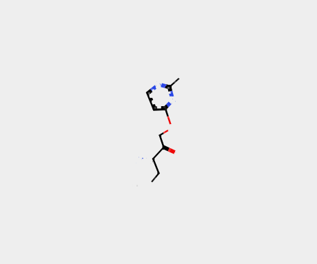 Cl.N[C@@H](CC(=O)O)C(=O)COc1ccnc(C(F)(F)F)n1